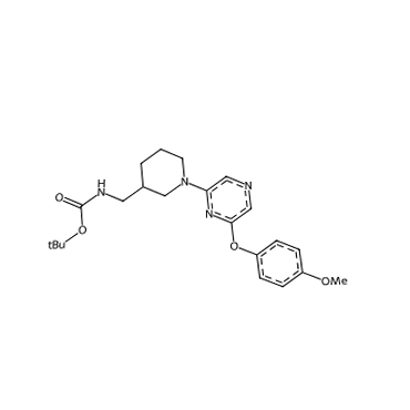 COc1ccc(Oc2cncc(N3CCCC(CNC(=O)OC(C)(C)C)C3)n2)cc1